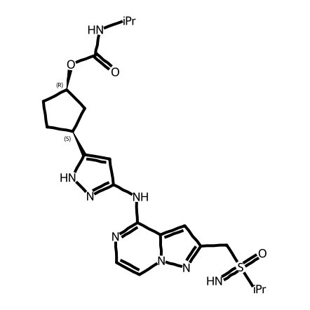 CC(C)NC(=O)O[C@@H]1CC[C@H](c2cc(Nc3nccn4nc(CS(=N)(=O)C(C)C)cc34)n[nH]2)C1